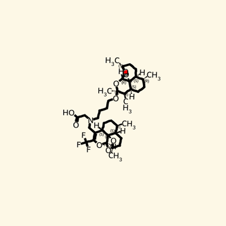 C[C@@H]1CC[C@H]2[C@@H](C)[C@@](C)(OCCCCN(CC(=O)O)CC3=C(C(F)(F)F)O[C@@H]4O[C@]5(C)CC[C@H]6[C@H](C)CC[C@@H]3[C@@]46O5)O[C@@H]3O[C@]4(C)CC[C@@H]1[C@]32OO4